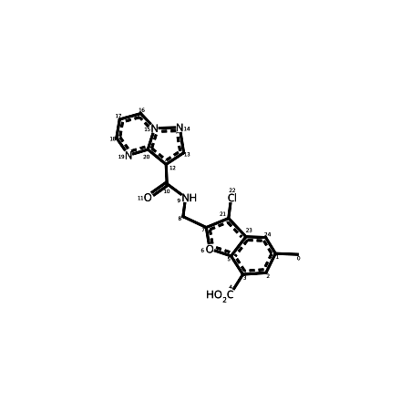 Cc1cc(C(=O)O)c2oc(CNC(=O)c3cnn4cccnc34)c(Cl)c2c1